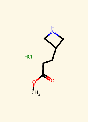 COC(=O)CCC1CNC1.Cl